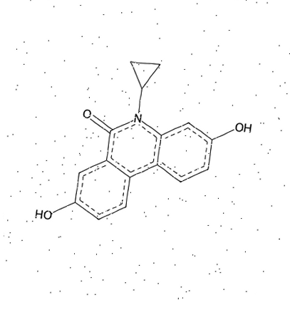 O=c1c2cc(O)ccc2c2ccc(O)cc2n1C1CC1